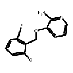 Nc1ncccc1OCc1c(F)cccc1Cl